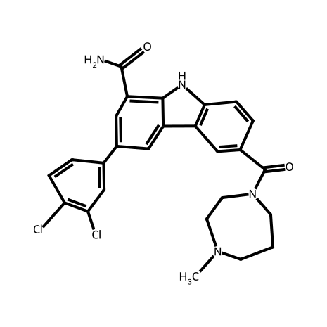 CN1CCCN(C(=O)c2ccc3[nH]c4c(C(N)=O)cc(-c5ccc(Cl)c(Cl)c5)cc4c3c2)CC1